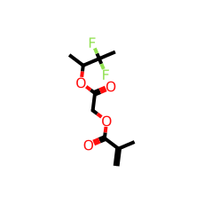 C=C(C)C(=O)OCC(=O)OC(C)C(C)(F)F